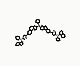 c1ccc(N(c2ccc3c(ccc4cc(-c5ccc(N(c6ccccc6)c6cccc7ccccc67)cn5)ccc43)c2)c2ccc3c(ccc4cc(-c5ccc(N(c6ccccc6)c6cccc7ccccc67)cn5)ccc43)c2)cc1